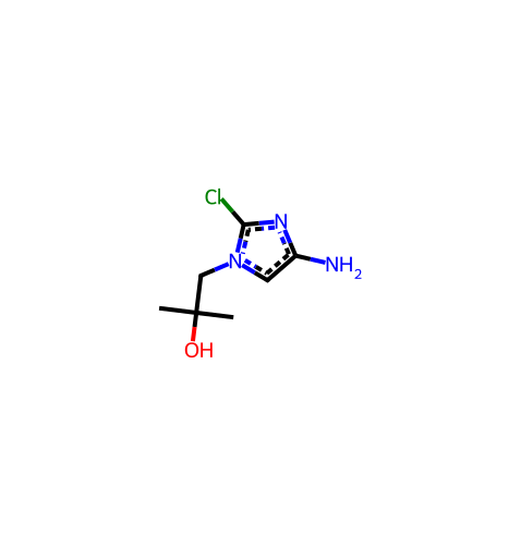 CC(C)(O)Cn1cc(N)nc1Cl